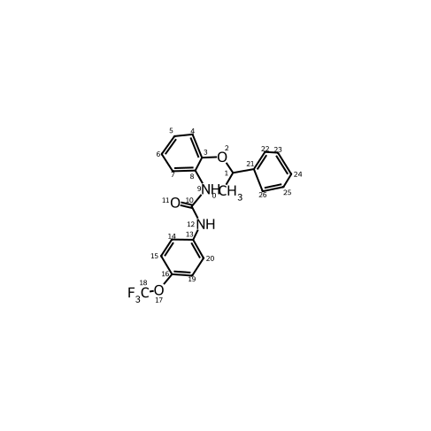 CC(Oc1ccccc1NC(=O)Nc1ccc(OC(F)(F)F)cc1)c1ccccc1